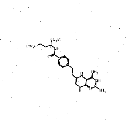 CCOC(=O)CC[C@H](NC(=O)c1ccc(CCC2CNC3=NN(N)NC(N)=C3N2)cc1)C(=O)OCC